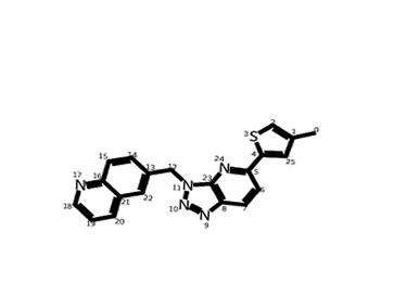 Cc1csc(-c2ccc3nnn(Cc4ccc5ncccc5c4)c3n2)c1